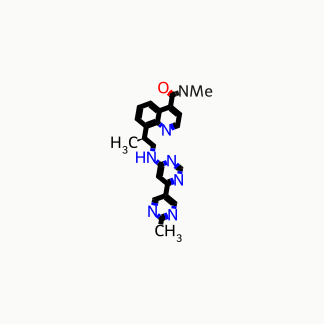 CNC(=O)c1ccnc2c([C@@H](C)CNc3cc(-c4cnc(C)nc4)ncn3)cccc12